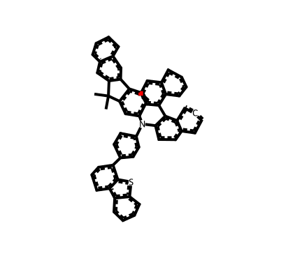 CC1(C)c2cc(N(c3ccc(-c4cccc5c4sc4ccccc45)cc3)c3ccc4ccccc4c3-c3cccc4ccccc34)ccc2-c2cc3ccccc3cc21